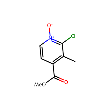 COC(=O)c1cc[n+]([O-])c(Cl)c1C